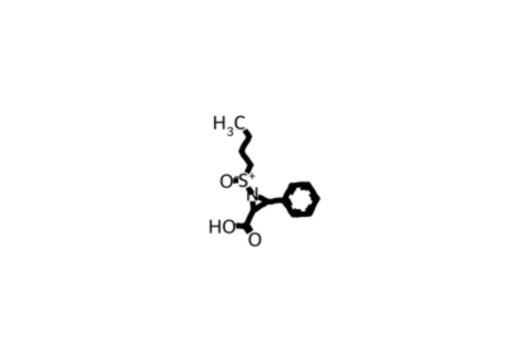 CCCC[S+]([O-])N1C(C(=O)O)C1c1ccccc1